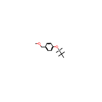 COCc1ccc(O[Si](C)(C)C(C)(C)C)cc1